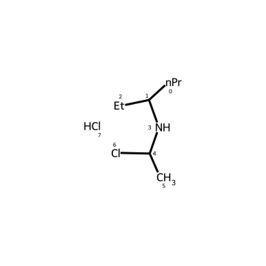 CCCC(CC)NC(C)Cl.Cl